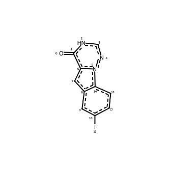 O=c1[nH]cnn2c1cc1cc(I)ccc12